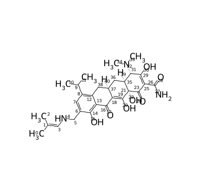 CC(C)=CNCc1cc(C(C)C)c2c(c1O)C(=O)C1=C(O)[C@]3(O)C(=O)C(C(N)=O)=C(O)[C@@H](N(C)C)[C@@H]3C[C@@H]1C2